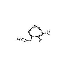 OCc1cccc(Cl)c1F